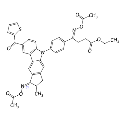 CCOC(=O)CCC(=NOC(C)=O)c1ccc(-n2c3ccc(C(=O)c4cccs4)cc3c3cc4c(cc32)CC(C)/C4=N\OC(C)=O)cc1